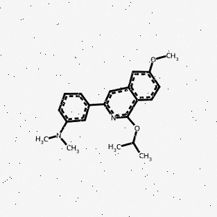 COc1ccc2c(OC(C)C)nc(-c3cccc(N(C)C)c3)cc2c1